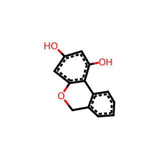 Oc1cc(O)c2c(c1)OCc1ccccc1-2